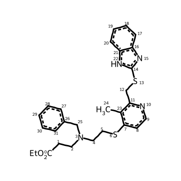 CCOC(=O)CCN(CCSc1ccnc(CSc2nc3ccccc3[nH]2)c1C)Cc1ccccc1